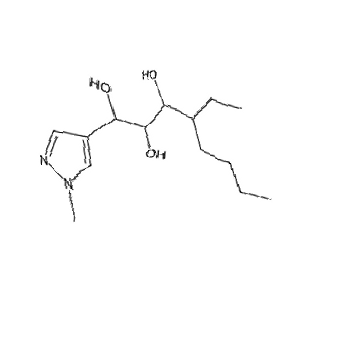 CCCCC(CC)C(O)C(O)C(O)c1cnn(C)c1